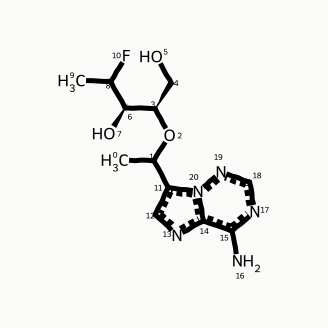 CC(O[C@H](CO)[C@@H](O)C(C)F)c1cnc2c(N)ncnn12